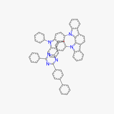 c1ccc(-c2ccc(-c3nc(-c4ccccc4)nc(-c4cccc(-n5c6ccccc6c6ccc7c8ccccc8n(-c8ccc9c(c8)c8ccccc8n9-c8ccccc8)c7c65)c4)n3)cc2)cc1